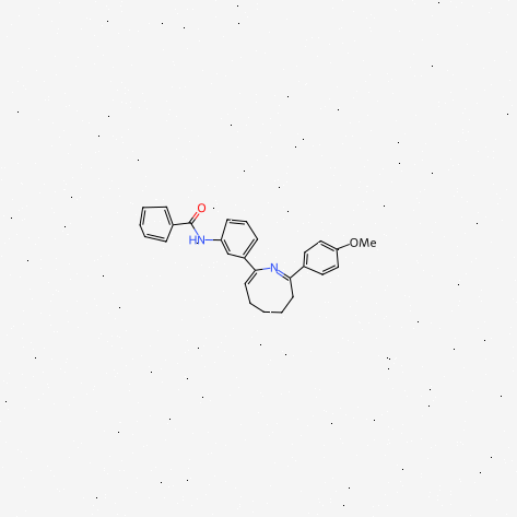 COc1ccc(/C2=N/C(c3cccc(NC(=O)c4ccccc4)c3)=C\CCCC2)cc1